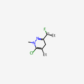 CCC1=C(Cl)N(C)N=C([C@@H](F)CC)C1